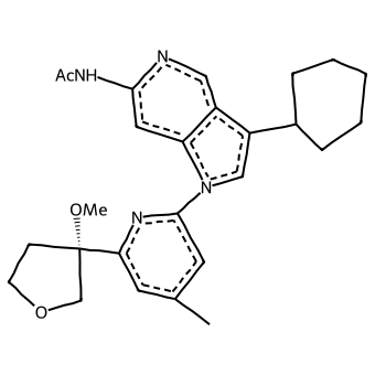 CO[C@@]1(c2cc(C)cc(-n3cc(C4CCCCC4)c4cnc(NC(C)=O)cc43)n2)CCOC1